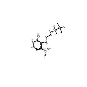 CC(C)(C)[Si](C)(C)OCCOc1c([N+](=O)[O-])ccnc1Cl